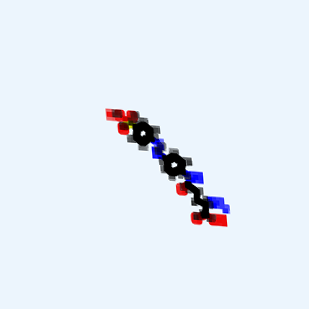 N[C@@H](CCC(=O)Nc1ccc(N=Nc2ccc(S(=O)(=O)O)cc2)cc1)C(=O)O